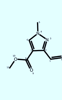 C=Cc1nn(C)cc1C(=O)OC